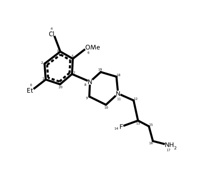 CCc1cc(Cl)c(OC)c(N2CCN(CC(F)CCN)CC2)c1